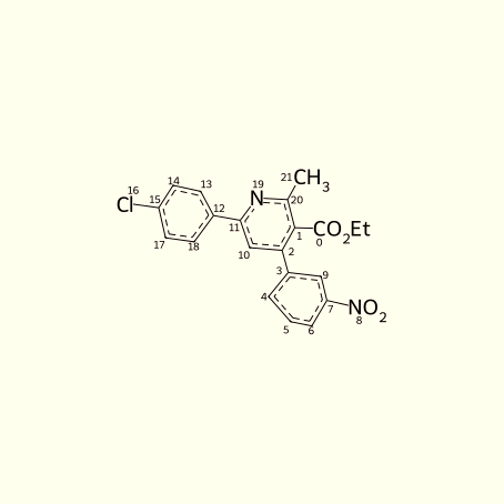 CCOC(=O)c1c(-c2cccc([N+](=O)[O-])c2)cc(-c2ccc(Cl)cc2)nc1C